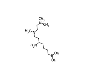 CN(C)CCN(C)CCC(N)CCCCB(O)O